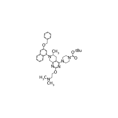 CC1Cc2c(nc(OCCN(C)C)nc2N2CCN(C(=O)OC(C)(C)C)CC2)CN1c1cc(OCc2ccccc2)cc2ccccc12